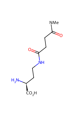 CNC(=O)CCC(=O)NCC[C@H](N)C(=O)O